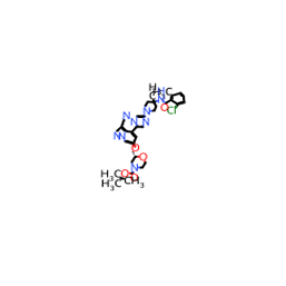 Cc1cccc(Cl)c1C(=O)NC1(C)CCN(c2cnc(-c3cc(OC[C@H]4CN(C(=O)OC(C)(C)C)CCO4)cn4ncc(C#N)c34)cn2)CC1